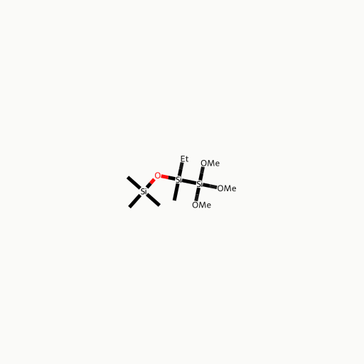 CC[Si](C)(O[Si](C)(C)C)[Si](OC)(OC)OC